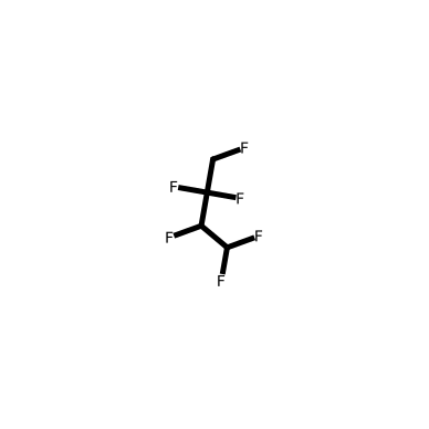 FCC(F)(F)C(F)C(F)F